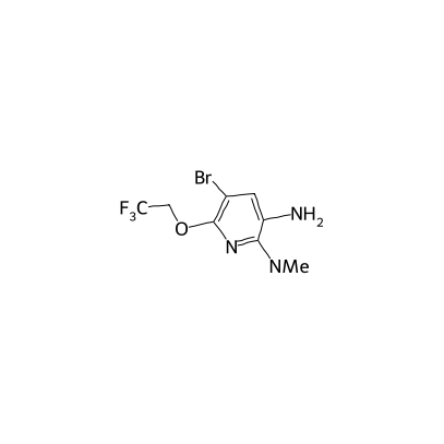 CNc1nc(OCC(F)(F)F)c(Br)cc1N